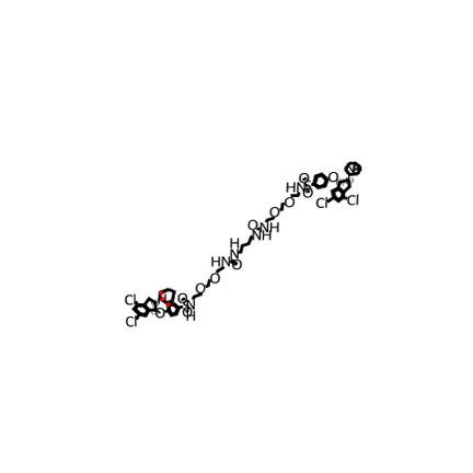 O=C(NCCCCNC(=O)NCCOCCOCCNS(=O)(=O)c1ccc(O[C@H]2c3cc(Cl)cc(Cl)c3C[C@@H]2N2CC3CCC2CC3)cc1)NCCOCCOCCNS(=O)(=O)c1ccc(O[C@H]2c3cc(Cl)cc(Cl)c3C[C@@H]2N2CC3CCC2CC3)cc1